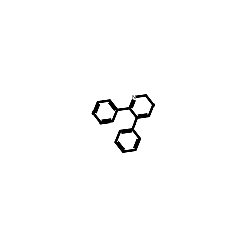 C1=C(c2ccccc2)C(c2ccccc2)=NCC1